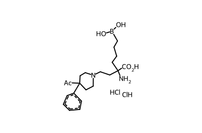 CC(=O)C1(c2ccccc2)CCN(CCC(N)(CCCCB(O)O)C(=O)O)CC1.Cl.Cl